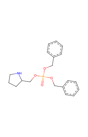 O=P(OCc1ccccc1)(OCc1ccccc1)OCC1CCCN1